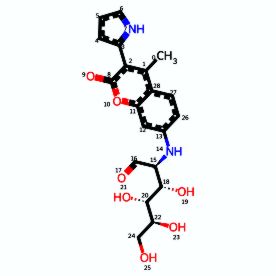 Cc1c(-c2ccc[nH]2)c(=O)oc2cc(N[C@H](C=O)[C@H](O)[C@@H](O)[C@@H](O)CO)ccc12